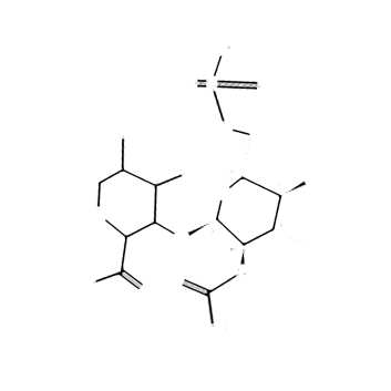 CC(=O)N[C@H]1[C@@H](OC2C(C(=O)O)OCC(O)C2O)O[C@H](COS(=O)(=O)O)[C@@H](O)[C@@H]1O